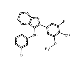 COc1cc(-c2nc3ccccn3c2Nc2cccc(Cl)c2)cc(F)c1O